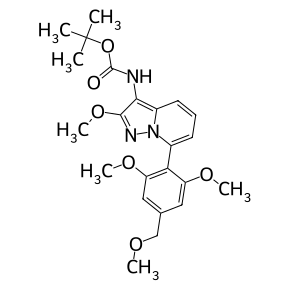 COCc1cc(OC)c(-c2cccc3c(NC(=O)OC(C)(C)C)c(OC)nn23)c(OC)c1